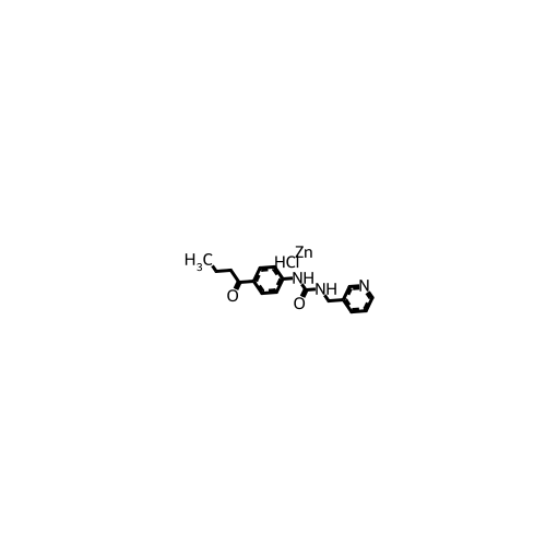 CCCC(=O)c1ccc(NC(=O)NCc2cccnc2)cc1.Cl.[Zn]